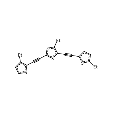 CCc1ccc(C#Cc2sc(C#Cc3sccc3CC)cc2CC)s1